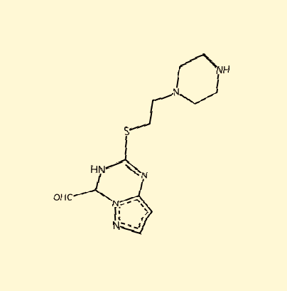 O=CC1NC(SCCN2CCNCC2)=Nc2ccnn21